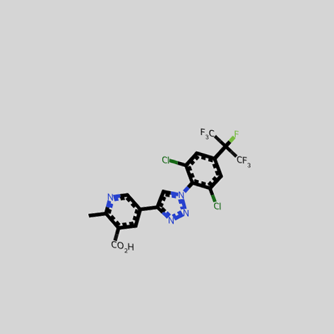 Cc1ncc(-c2cn(-c3c(Cl)cc(C(F)(C(F)(F)F)C(F)(F)F)cc3Cl)nn2)cc1C(=O)O